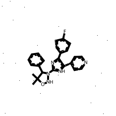 CC1(C)ONN(c2nc(-c3ccc(F)cc3)c(-c3ccncc3)[nH]2)C1c1ccccc1